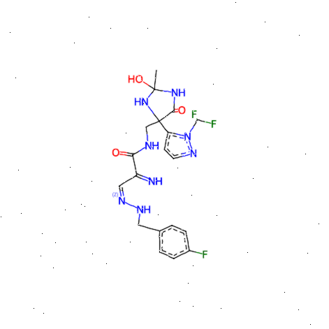 CC1(O)NC(=O)C(CNC(=O)C(=N)/C=N\NCc2ccc(F)cc2)(c2ccnn2C(F)F)N1